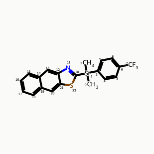 C[Si](C)(c1ccc(C(F)(F)F)cc1)c1nc2cc3ccccc3cc2s1